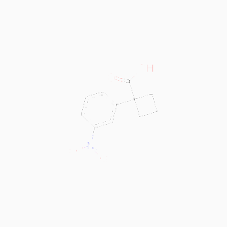 O=C(O)C1(c2cccc([N+](=O)[O-])c2)CCC1